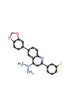 CN(C)c1cc(-c2cccc(F)c2)nc2ccc(-c3ccc4c(c3)OCO4)cc12